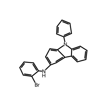 Brc1ccccc1Nc1ccc2c(c1)c1ccccc1n2-c1ccccc1